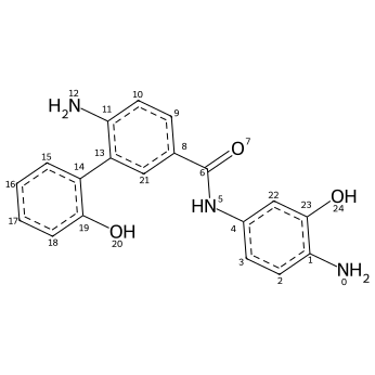 Nc1ccc(NC(=O)c2ccc(N)c(-c3ccccc3O)c2)cc1O